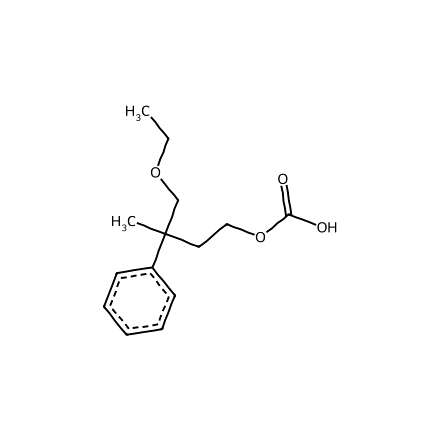 CCOCC(C)(CCOC(=O)O)c1ccccc1